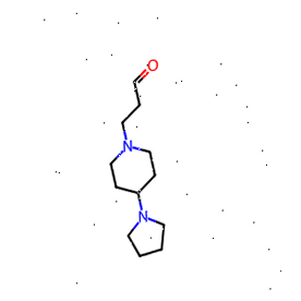 O=CCCN1CCC(N2CCCC2)CC1